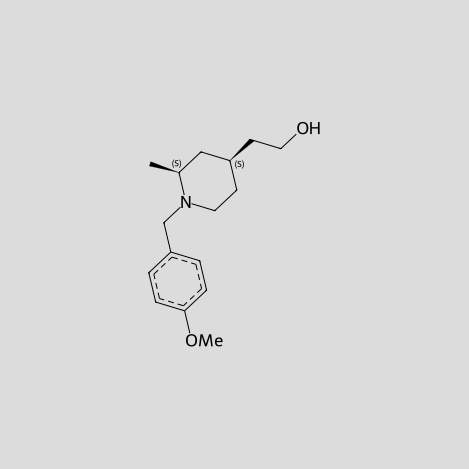 COc1ccc(CN2CC[C@H](CCO)C[C@@H]2C)cc1